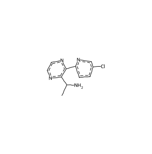 CC(N)c1nccnc1-c1ccc(Cl)cn1